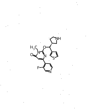 Cn1c(OC(c2ccsc2)[C@H]2CCNC2)nc(-c2ccncc2F)cc1=O